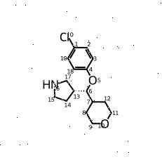 Clc1ccc(OC(C2CCOCC2)[C@@H]2CCNC2)cc1